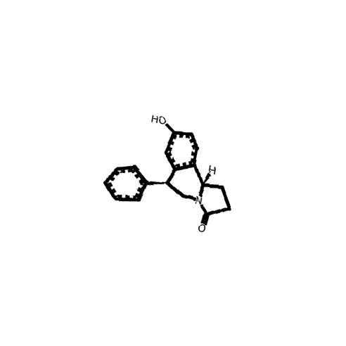 O=C1CC[C@H]2c3ccc(O)cc3[C@H](c3ccccc3)CN12